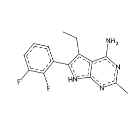 CCc1c(-c2cccc(F)c2F)[nH]c2nc(C)nc(N)c12